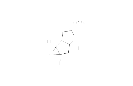 CO[C@H]1CC2[C@H](C[C@H]3O[C@@H]23)O1